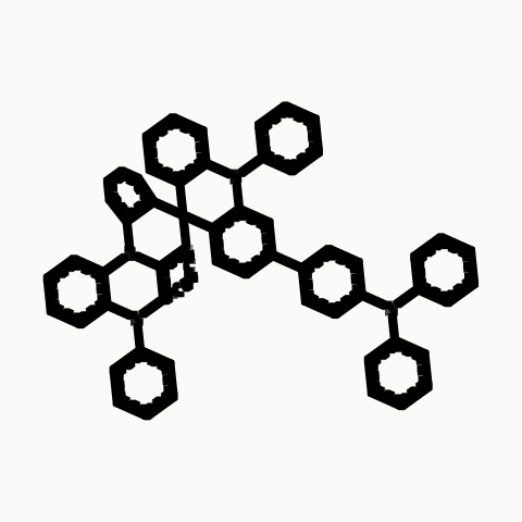 c1ccc(B2c3ccccc3C3(c4ccc(-c5ccc(N(c6ccccc6)c6ccccc6)cc5)cc42)c2ccccc2B2c4ccccc4N(c4ccccc4)c4cccc3c42)cc1